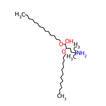 CCCCCCCCCCCCCCOC(O)C(CCC(C)(C)N)OCCCCCCCCCCCCCC